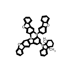 CC12CCCCC1(C)N(c1cc3c4c(c1)N(c1ccc5oc6ccccc6c5c1)c1cc5c(cc1B4c1cc4oc6ccccc6c4cc1-3)oc1ccccc15)c1ccccc12